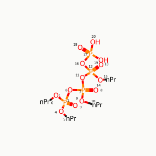 CCCOP(=O)(OCCC)OP(=O)(OCCC)OP(=O)(OCCC)OP(=O)(O)O